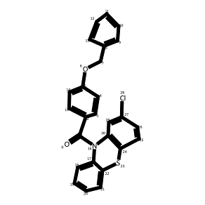 O=C(c1ccc(OCc2ccccc2)cc1)N1c2ccccc2Sc2ccc(Cl)cc21